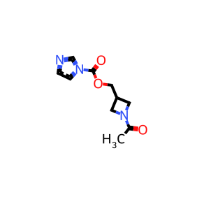 CC(=O)N1CC(COC(=O)n2ccnc2)C1